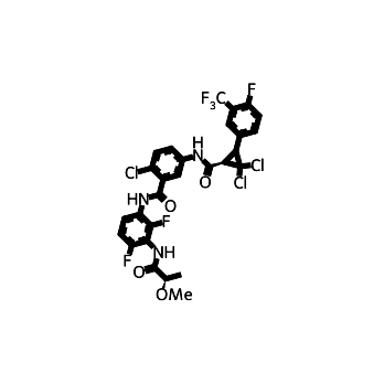 CO[C@@H](C)C(=O)Nc1c(F)ccc(NC(=O)c2cc(NC(=O)[C@H]3C(c4ccc(F)c(C(F)(F)F)c4)C3(Cl)Cl)ccc2Cl)c1F